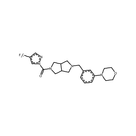 O=C(N1CC2CN(Cc3cccc(N4CCOCC4)c3)CC2C1)n1cc(C(F)(F)F)cn1